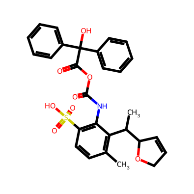 Cc1ccc(S(=O)(=O)O)c(NC(=O)OC(=O)C(O)(c2ccccc2)c2ccccc2)c1C(C)C1C=CCO1